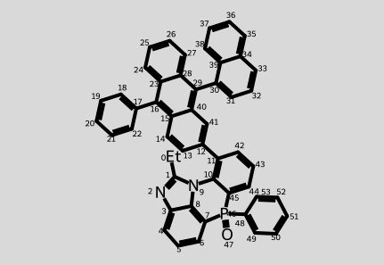 CCc1nc2cccc3c2n1-c1c(-c2ccc4c(-c5ccccc5)c5ccccc5c(-c5cccc6ccccc56)c4c2)cccc1P3(=O)c1ccccc1